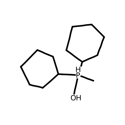 C[PH](O)(C1CCCCC1)C1CCCCC1